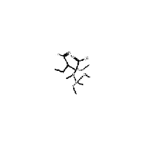 CCC(C(=O)O)[C@@](CC)(C(=O)O)N(C)[Si](C)(OC)OC